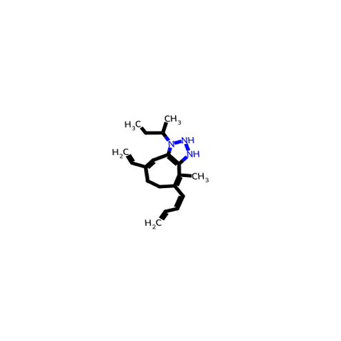 C=C/C=C\C1=C(/C)C2=C(/C=C(/C=C)CC1)N(C(C)CC)NN2